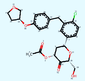 CC(=O)O[C@@H]1C[C@H](c2ccc(Cl)c(Cc3ccc(O[C@H]4CCOC4)cc3)c2)O[C@H](CO)C1=O